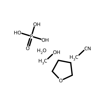 C1CCOC1.CC#N.CO.O.O=P(O)(O)O